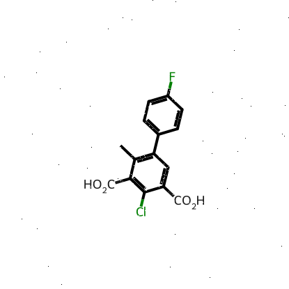 Cc1c(-c2ccc(F)cc2)cc(C(=O)O)c(Cl)c1C(=O)O